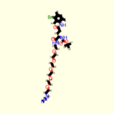 Cc1cc(C)c(NC(=O)CC[C@@H](NC(=O)OC(C)(C)C)C(=O)NCCOCCOCCOCCOCCOCCN=[N+]=[N-])c(C)c1Br